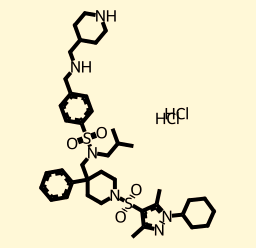 Cc1nn(C2CCCCC2)c(C)c1S(=O)(=O)N1CCC(CN(CC(C)C)S(=O)(=O)c2ccc(CNCC3CCNCC3)cc2)(c2ccccc2)CC1.Cl.Cl